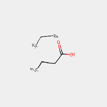 CCCC(=O)O.C[CH2][Zn]